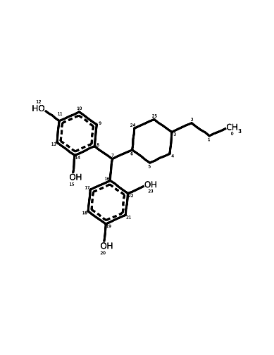 CCCC1CCC(C(c2ccc(O)cc2O)c2ccc(O)cc2O)CC1